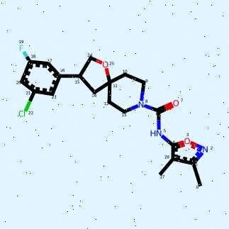 Cc1noc(NC(=O)N2CCC3(CC2)CC(c2cc(F)cc(Cl)c2)CO3)c1C